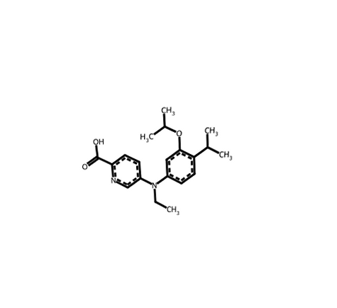 CCN(c1ccc(C(=O)O)nc1)c1ccc(C(C)C)c(OC(C)C)c1